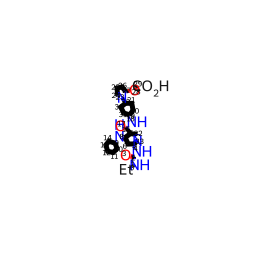 CCNC(=O)Nc1cc(Nc2ccccc2)c(C(=O)Nc2ccc(-n3cccc3OC(=O)O)cc2)cn1